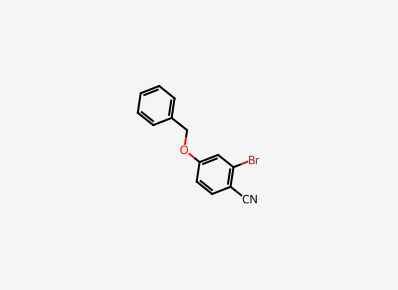 N#Cc1ccc(OCc2ccccc2)cc1Br